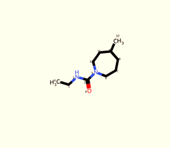 CCNC(=O)N1CCCC(C)CC1